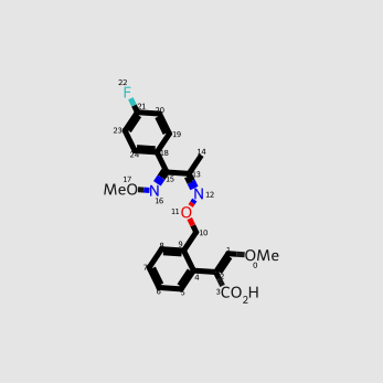 COC=C(C(=O)O)c1ccccc1CON=C(C)C(=NOC)c1ccc(F)cc1